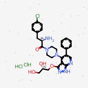 Cl.Cl.N[C@H](Cc1ccc(Cl)cc1)C(=O)N1CCN(c2c(-c3ccccc3)cnc3[nH]nc(OC[C@@H](O)CO)c23)CC1